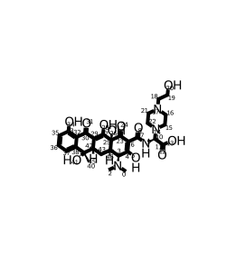 CN(C)[C@@H]1C(O)=C(C(=O)N[C@H](C(=O)O)N2CCN(CCO)CC2)C(=O)[C@@]2(O)C(O)=C3C(=O)c4c(O)cccc4[C@@](C)(O)[C@H]3C[C@H]12